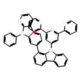 c1ccc(-n2c3cc(-c4cccc5c6ccccc6n(-c6cc(-c7ccccn7)nc(-c7ccccn7)c6)c45)ccc3c3cccnc32)cc1